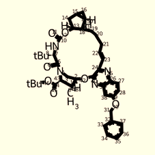 C[C@@H]1[C@@H]2CN(C(=O)[C@H](C(C)(C)C)NC(=O)O[C@@H]3CC4C[C@@H]4[C@H]3CCC/C=C/c3nc4ccc(OCc5ccccc5)cc4nc3O2)[C@@H]1C(=O)OC(C)(C)C